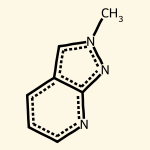 Cn1cc2cccnc2n1